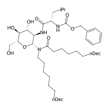 CCCCCCCCCCCCCCCCN(C(=O)CCCCCCCCCCCCCCC)[C@@H]1O[C@H](CO)[C@@H](O)[C@H](O)[C@H]1NC(=O)[C@H](CC(C)C)NC(=O)OCc1ccccc1